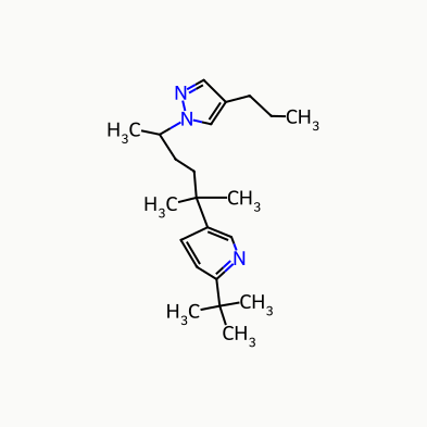 CCCc1cnn(C(C)CCC(C)(C)c2ccc(C(C)(C)C)nc2)c1